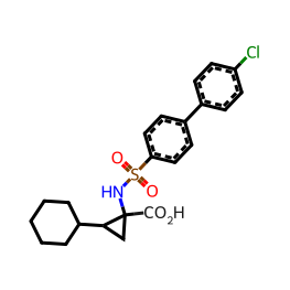 O=C(O)C1(NS(=O)(=O)c2ccc(-c3ccc(Cl)cc3)cc2)CC1C1CCCCC1